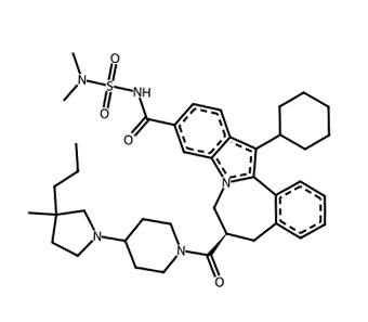 CCCC1(C)CCN(C2CCN(C(=O)[C@@H]3Cc4ccccc4-c4c(C5CCCCC5)c5ccc(C(=O)NS(=O)(=O)N(C)C)cc5n4C3)CC2)C1